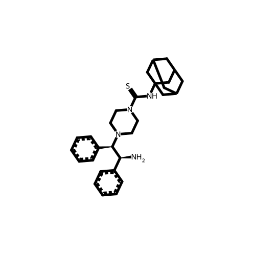 N[C@@H](c1ccccc1)[C@@H](c1ccccc1)N1CCN(C(=S)NC23CC4CC(CC(C4)C2)C3)CC1